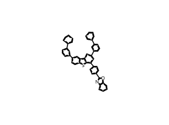 c1ccc(-c2cccc(-c3ccc4sc5c(-c6ccc(-c7nc8ccccc8o7)cc6)cc(-c6cccc(-c7ccccc7)c6)cc5c4c3)c2)cc1